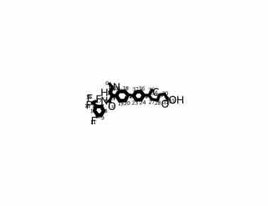 Cc1cc(C(=O)Nc2ccc(F)cc2C(F)(F)F)c2ccc(-c3ccc(C4CCC(CC(=O)O)CC4)cc3)cc2n1